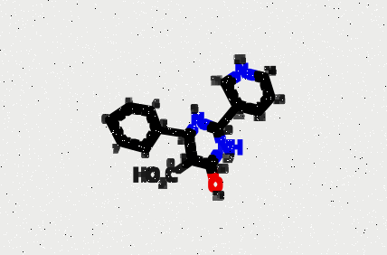 O=C(O)c1c(-c2ccccc2)nc(-c2cccnc2)[nH]c1=O